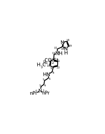 CCCN(CCC)CCCCNCc1ccc(CNCc2ncc[nH]2)cc1.CCOC(C)=O